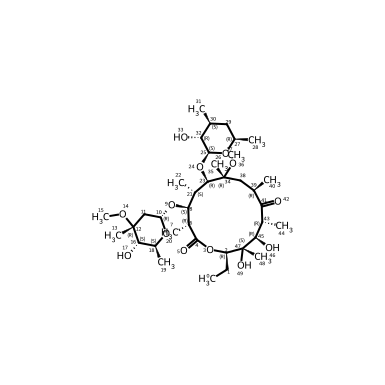 CC[C@H]1OC(=O)[C@H](C)[C@@H](O[C@H]2C[C@@](C)(OC)[C@@H](O)[C@H](C)O2)[C@H](C)[C@@H](O[C@@H]2O[C@H](C)C[C@H](C)[C@H]2O)[C@](C)(OC)C[C@@H](C)C(=O)[C@H](C)[C@@H](O)[C@]1(C)O